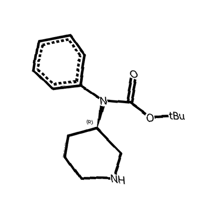 CC(C)(C)OC(=O)N(c1ccccc1)[C@@H]1CCCNC1